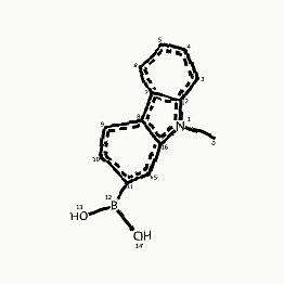 Cn1c2ccccc2c2ccc(B(O)O)cc21